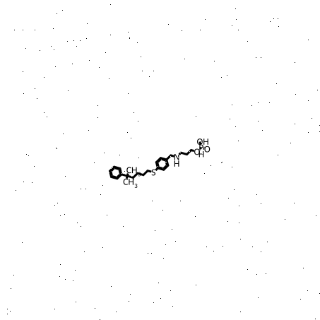 CC(C)(CCCCSc1ccc(CNCCCO[PH](=O)O)cc1)c1ccccc1